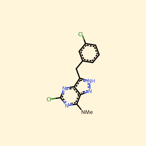 CNc1nc(Cl)nc2c(Cc3cccc(Cl)c3)[nH]nc12